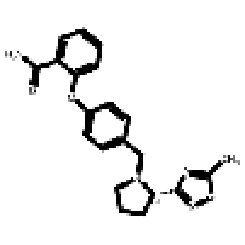 Cc1nc([C@@H]2CCCN2Cc2ccc(Oc3ccccc3C(N)=O)cc2)ns1